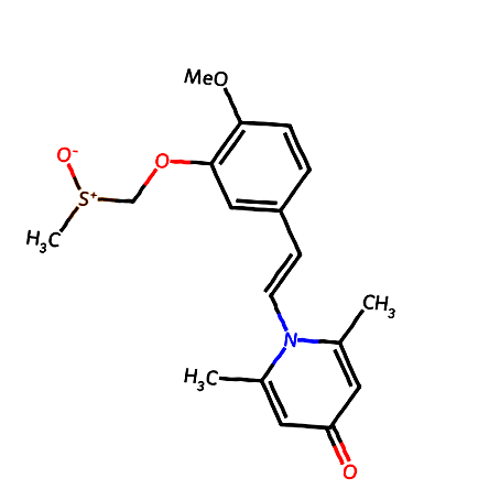 COc1ccc(C=Cn2c(C)cc(=O)cc2C)cc1OC[S+](C)[O-]